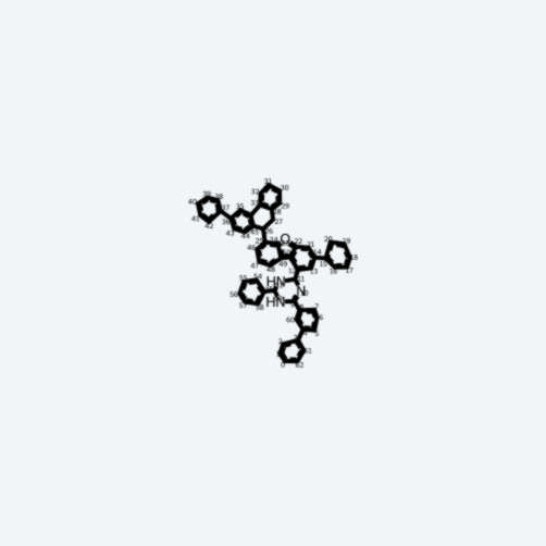 c1ccc(-c2cccc(C3=NC(c4cc(-c5ccccc5)cc5oc6c(C7Cc8ccccc8-c8cc(-c9ccccc9)ccc87)cccc6c45)NC(c4ccccc4)N3)c2)cc1